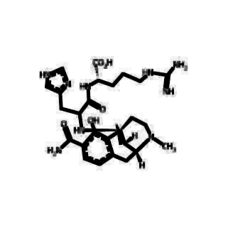 CN1CC[C@]23C[C@H](NC(Cc4c[nH]cn4)C(=O)N[C@@H](CCCNC(=N)N)C(=O)O)CC[C@H]2[C@H]1Cc1ccc(C(N)=O)c(O)c13